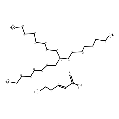 CCC/C=C/C(=O)O.CCCCCCCCN(CCCCCCCC)CCCCCCCC